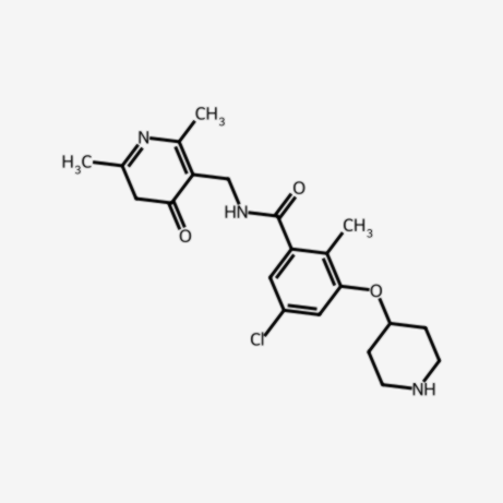 CC1=NC(C)=C(CNC(=O)c2cc(Cl)cc(OC3CCNCC3)c2C)C(=O)C1